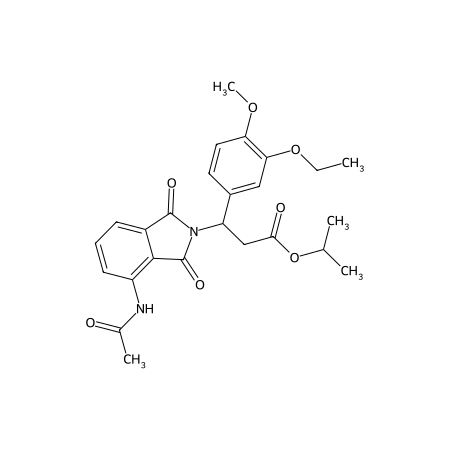 CCOc1cc(C(CC(=O)OC(C)C)N2C(=O)c3cccc(NC(C)=O)c3C2=O)ccc1OC